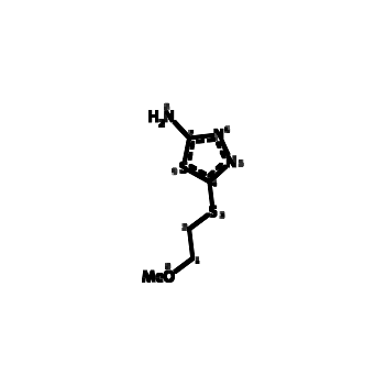 COCCSc1nnc(N)s1